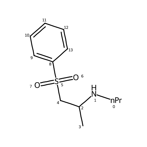 CCCNC(C)CS(=O)(=O)c1ccccc1